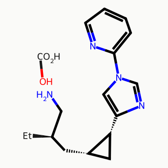 CC[C@@H](CN)C[C@H]1C[C@H]1c1cn(-c2ccccn2)cn1.O=C(O)O